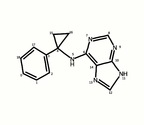 c1ccc(C2(Nc3ncnc4[nH]cnc34)CC2)cc1